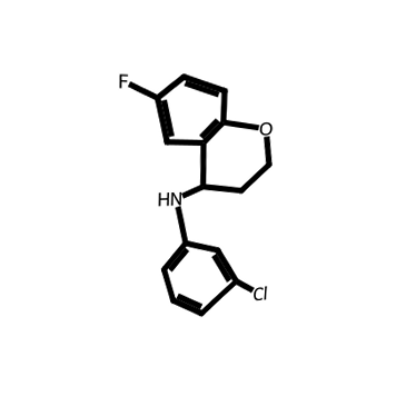 Fc1ccc2c(c1)C(Nc1cccc(Cl)c1)CCO2